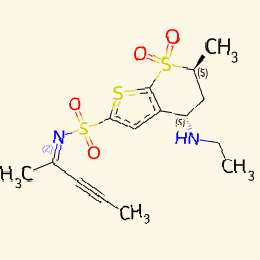 CC#C/C(C)=N\S(=O)(=O)c1cc2c(s1)S(=O)(=O)[C@@H](C)C[C@@H]2NCC